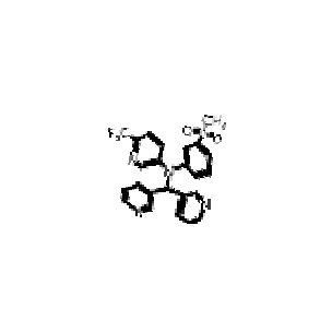 CS(=O)(=O)c1cccc(N(c2ccc(C(F)(F)F)nc2)C(c2cccnc2)c2cccnc2)c1